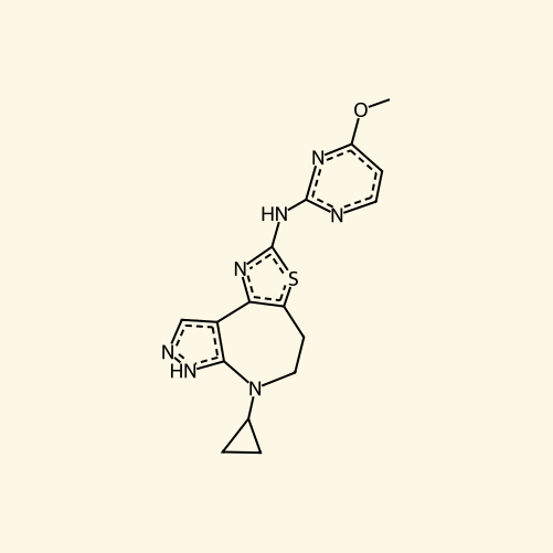 COc1ccnc(Nc2nc3c(s2)CCN(C2CC2)c2[nH]ncc2-3)n1